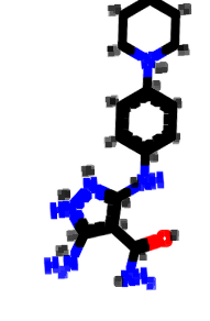 NC(=O)c1c(Nc2ccc(N3CCCCC3)cc2)n[nH]c1N